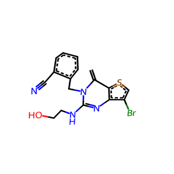 C=C1c2scc(Br)c2N=C(NCCO)N1Cc1ccccc1C#N